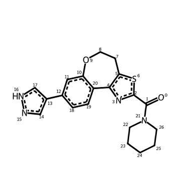 O=C(c1nc2c(s1)CCOc1cc(-c3cn[nH]c3)ccc1-2)N1CCCCC1